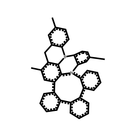 Cc1ccc2c(c1)Cc1c(C)cc3c4ccccc4c4ccccc4c4ccccc4n4c3c1B2c1ccc(C)cc1-4